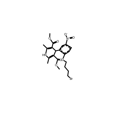 COC(=O)C1=C(C)NC(C)=C(C(=O)OC)C1c1cc([N+](=O)[O-])ccc1OCCCCBr